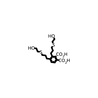 O=C(O)c1ccc(CCCSCCO)c(CCCSCCO)c1C(=O)O